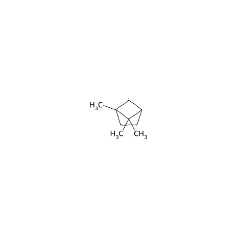 CC12[CH]C(CC1)C2(C)C